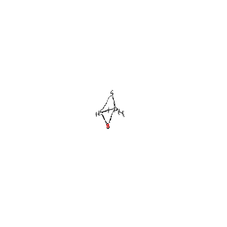 I[SH]123S[PH]1(S2)S3